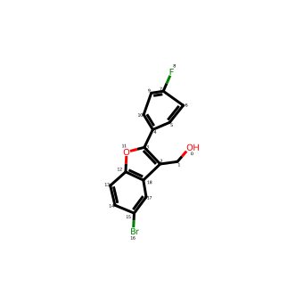 OCc1c(-c2ccc(F)cc2)oc2ccc(Br)cc12